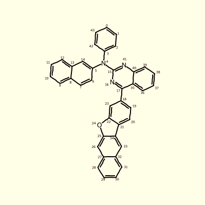 c1ccc(N(c2ccc3ccccc3c2)c2nc(-c3ccc4c(c3)oc3cc5ccccc5cc34)c3ccccc3n2)cc1